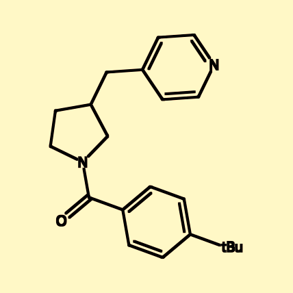 CC(C)(C)c1ccc(C(=O)N2CCC(Cc3ccncc3)C2)cc1